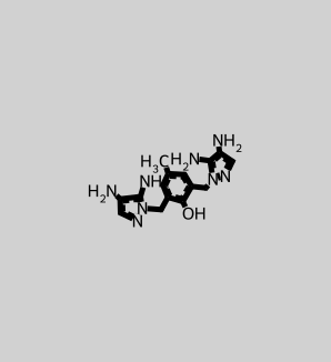 Cc1cc(Cn2ncc(N)c2N)c(O)c(Cn2ncc(N)c2N)c1